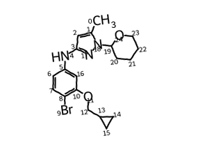 Cc1cc(Nc2ccc(Br)c(OCC3CC3)c2)nn1C1CCCCO1